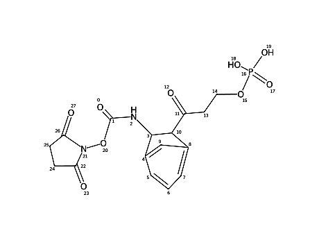 O=C(NC1c2cccc(c2)C1C(=O)CCOP(=O)(O)O)ON1C(=O)CCC1=O